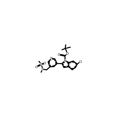 CN(Cc1cncc(-c2cc3ccc(Cl)cc3n2C(=O)OC(C)(C)C)c1)S(C)(=O)=O